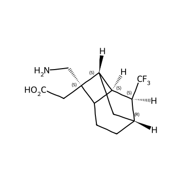 NC[C@@]1(CC(=O)O)C2CC[C@@H]3C[C@H]1[C@H]2[C@H]3C(F)(F)F